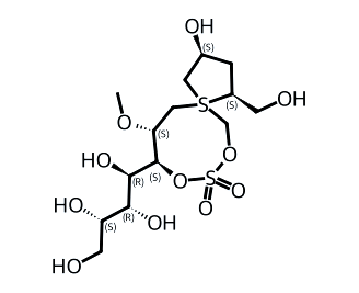 CO[C@@H]1CS2(COS(=O)(=O)O[C@H]1[C@H](O)[C@H](O)[C@@H](O)CO)C[C@@H](O)C[C@H]2CO